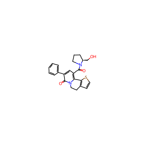 O=C(c1cc(-c2ccccc2)c(=O)n2c1-c1sccc1CC2)N1CCC[C@H]1CO